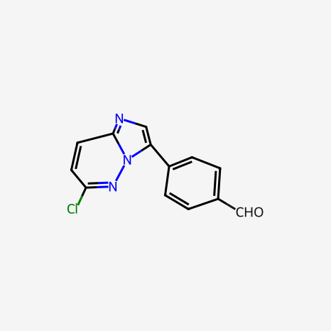 O=Cc1ccc(-c2cnc3ccc(Cl)nn23)cc1